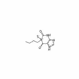 CCCC[N+]1([S-])C(=O)Nc2nc[nH]c2C1=O